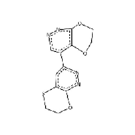 [c]1nnc2c(c1-c1cc3c(nn1)OCCS3)OCCO2